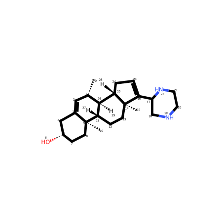 C[C@H]1C=C2C[C@@H](O)CC[C@]2(C)[C@H]2CC[C@]3(C)C(C4CNCCN4)=CC[C@H]3[C@H]12